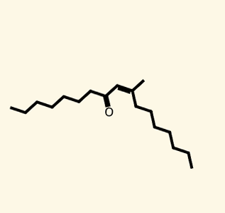 CCCCCCCC(=O)/C=C(/C)CCCCCCC